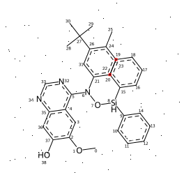 COc1cc2c(N(O[SiH](c3ccccc3)c3ccccc3)c3ccc(C)c(C(C)(C)C)c3)ncnc2cc1O